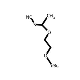 CCCCOCCOC(C)SC#N